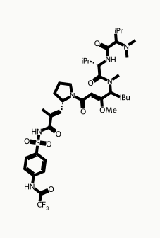 CCC(C)C(/C(=C/C(=O)N1CCC[C@H]1/C=C(\C)C(=O)NS(=O)(=O)c1ccc(NC(=O)C(F)(F)F)cc1)OC)N(C)C(=O)[C@@H](NC(=O)C(C(C)C)N(C)C)C(C)C